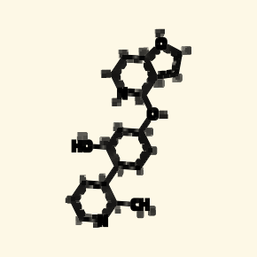 Cc1ncccc1-c1ccc(Oc2nccc3occc23)cc1O